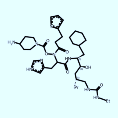 CCNC(=O)NC[C@@H](C[C@H](O)[C@H](CC1CCCCC1)NC(=O)C(Cc1c[nH]cn1)N(OC(=O)N1CCC(N)CC1)C(=O)CCc1cccs1)C(C)C